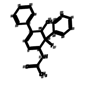 CC(=O)NC1=CC=C(c2ccccc2)C(O)C1(F)c1cccnc1